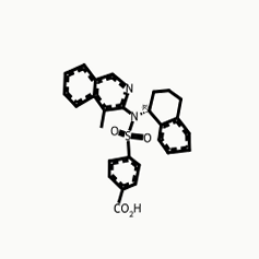 Cc1c(N([C@@H]2CCCc3ccccc32)S(=O)(=O)c2ccc(C(=O)O)cc2)ncc2ccccc12